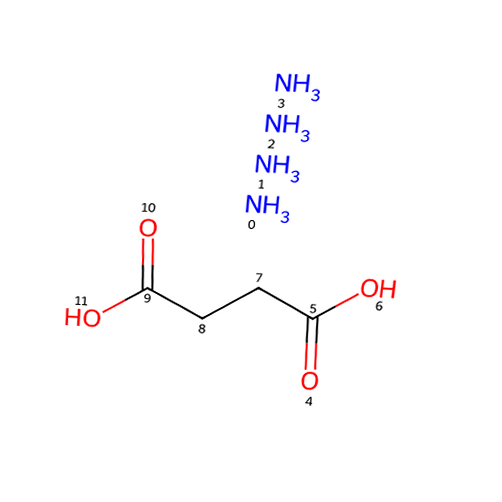 N.N.N.N.O=C(O)CCC(=O)O